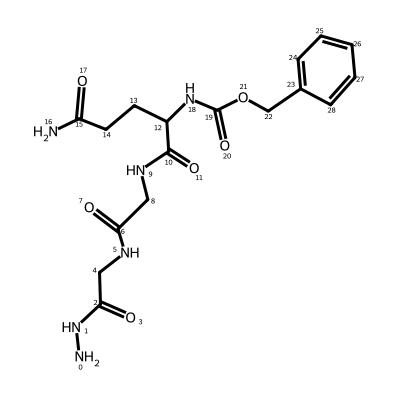 NNC(=O)CNC(=O)CNC(=O)C(CCC(N)=O)NC(=O)OCc1ccccc1